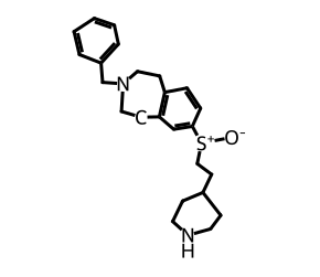 [O-][S+](CCC1CCNCC1)c1ccc2c(c1)CCN(Cc1ccccc1)CC2